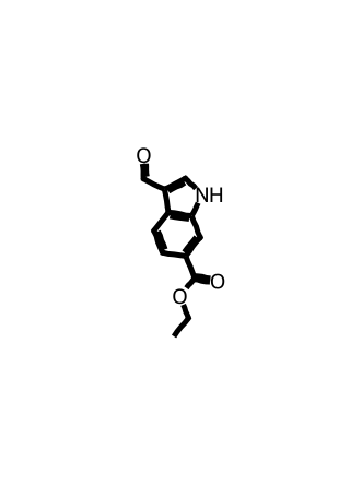 CCOC(=O)c1ccc2c(C=O)c[nH]c2c1